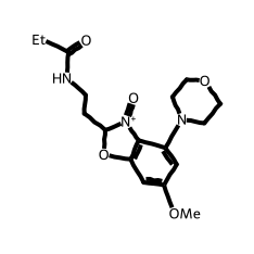 CCC(=O)NCCC1Oc2cc(OC)cc(N3CCOCC3)c2[N+]1=O